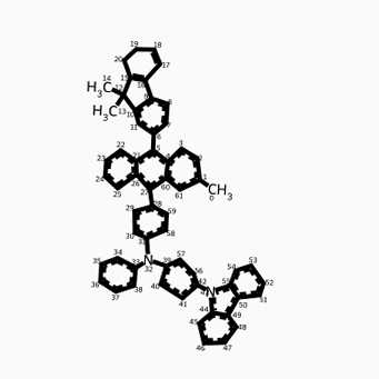 Cc1ccc2c(-c3ccc4c(c3)C(C)(C)C3=C4C=CCC3)c3ccccc3c(-c3ccc(N(c4ccccc4)c4ccc(-n5c6ccccc6c6ccccc65)cc4)cc3)c2c1